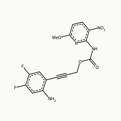 COc1ccc([N+](=O)[O-])c(NC(=O)OCC#Cc2cc(F)c(F)cc2N)n1